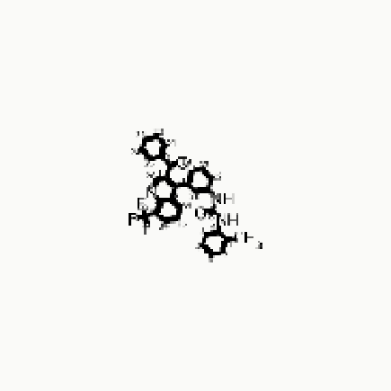 Cc1ccccc1NC(=O)Nc1cccc(-c2c(C(=O)c3ccccc3)cnc3c(C(F)(F)F)cccc23)c1